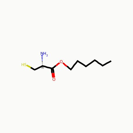 CCCCCCOC(=O)[C@@H](N)CS